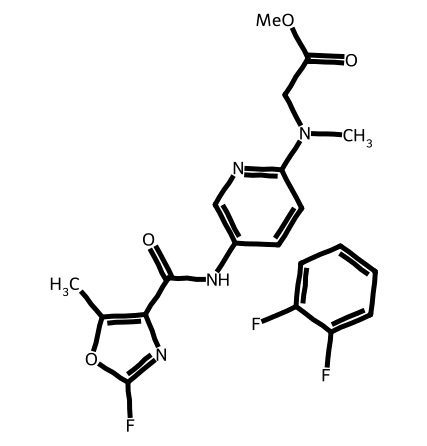 COC(=O)CN(C)c1ccc(NC(=O)c2nc(F)oc2C)cn1.Fc1ccccc1F